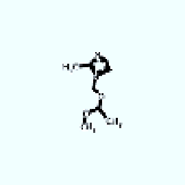 COC(C)OCn1ccnc1C